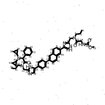 CCCN(Cc1nc(-c2ccc3cc(-c4ccc(-c5cnc(CN(CCC)C(=O)C(c6ccccc6)N(C6CC6)C6CC6)[nH]5)cc4)ccc3c2)c[nH]1)C(=O)CNC(=O)OC